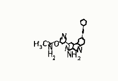 CC[C@@H](N)COc1cncc(-c2cc3c(cnc4ccc(C#Cc5ccccc5)cc43)c(N)n2)c1